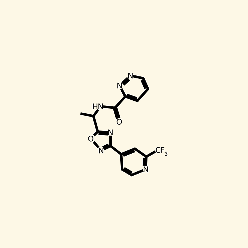 CC(NC(=O)c1cccnn1)c1nc(-c2ccnc(C(F)(F)F)c2)no1